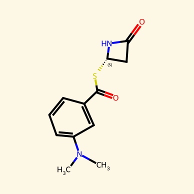 CN(C)c1cccc(C(=O)S[C@H]2CC(=O)N2)c1